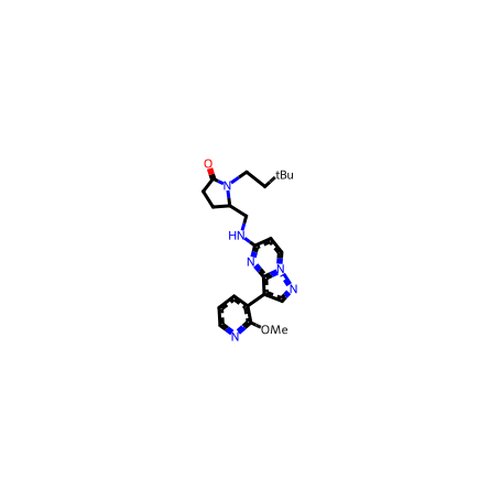 COc1ncccc1-c1cnn2ccc(NCC3CCC(=O)N3CCC(C)(C)C)nc12